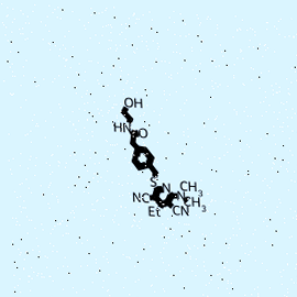 CCc1c(C#N)c(SCc2ccc(CC(=O)NCCO)cc2)nc(N(C)C)c1C#N